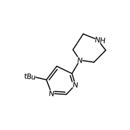 CC(C)(C)c1cc(N2CCNCC2)ncn1